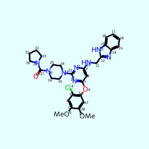 COc1cc(Cl)c(Oc2cc(NCc3nc4ccccc4[nH]3)nc(N3CCN(C(=O)N4CCCC4)CC3)n2)cc1OC